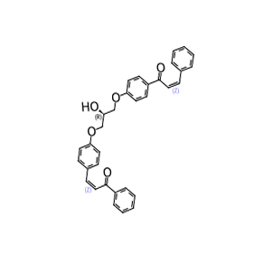 O=C(/C=C\c1ccc(OC[C@@H](O)COc2ccc(C(=O)/C=C\c3ccccc3)cc2)cc1)c1ccccc1